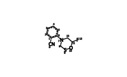 N#Cc1ccccc1N1CSOC(F)C1